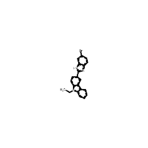 CCn1c2ccccc2c2cc(-c3nc4ccc(Br)cc4[nH]3)ccc21